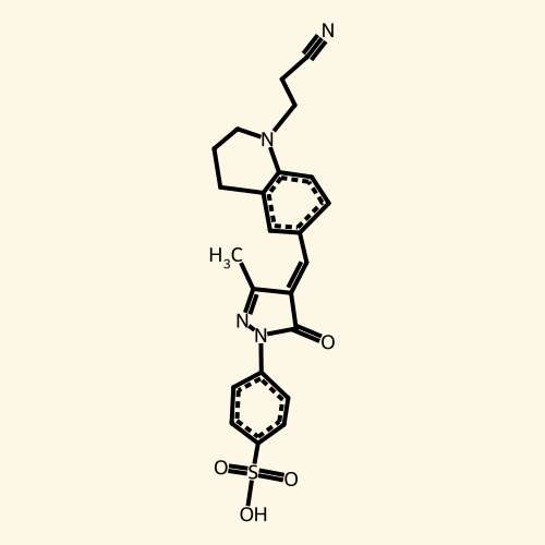 CC1=NN(c2ccc(S(=O)(=O)O)cc2)C(=O)C1=Cc1ccc2c(c1)CCCN2CCC#N